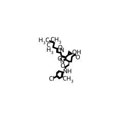 Cc1cc(Cl)ccc1NC(=O)C[C@H](CCC(=O)O)c1noc(-c2cc(CCC(C)(C)C)on2)c1C1CC1